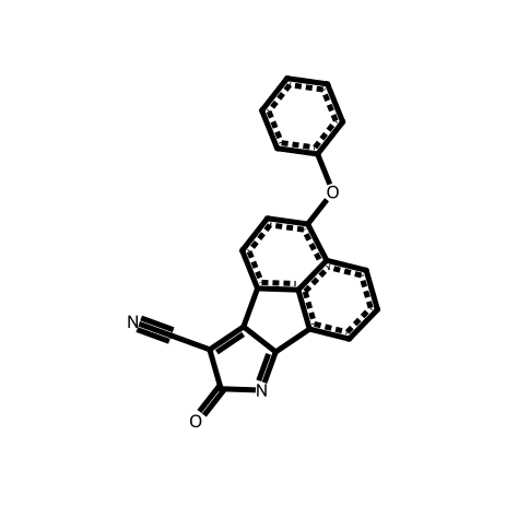 N#CC1=C2C(=NC1=O)c1cccc3c(Oc4ccccc4)ccc2c13